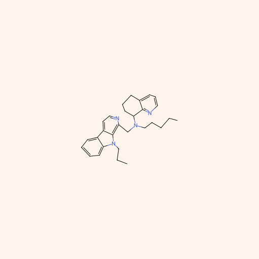 CCCCCN(Cc1nccc2c3ccccc3n(CCC)c12)C1CCCc2cccnc21